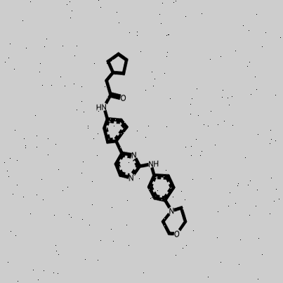 O=C(CC1CCCC1)Nc1ccc(-c2ccnc(Nc3ccc(N4CCOCC4)cc3)n2)cc1